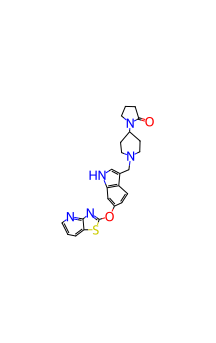 O=C1CCCN1C1CCN(Cc2c[nH]c3cc(Oc4nc5ncccc5s4)ccc23)CC1